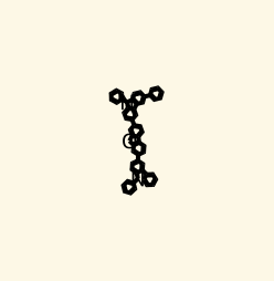 c1ccc(-c2ccc3c(c2)c2cc(-c4ccc5c(c4)oc4cc(-c6ccc7c(c6)c6ccccc6n7-c6ccccc6)ccc45)ccc2n3-c2ccccc2)cc1